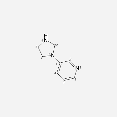 [c]1ncccc1N1CCNC1